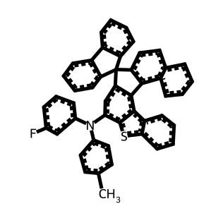 Cc1ccc(N(c2cccc(F)c2)c2cc3c(c4c2sc2ccccc24)-c2c(ccc4ccccc24)C32c3ccccc3-c3ccccc32)cc1